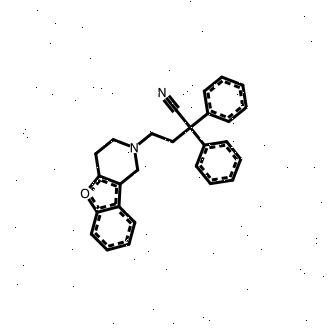 N#CC(CCN1CCc2oc3ccccc3c2C1)(c1ccccc1)c1ccccc1